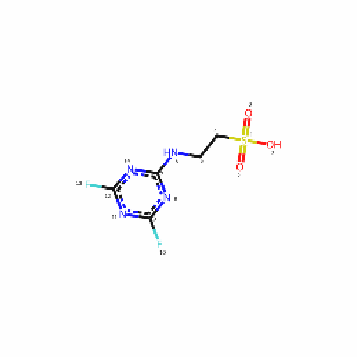 O=S(=O)(O)CCNc1nc(F)nc(F)n1